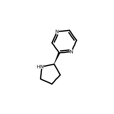 c1cnc([C@H]2CCCN2)cn1